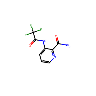 NC(=O)c1ncccc1NC(=O)C(F)(F)F